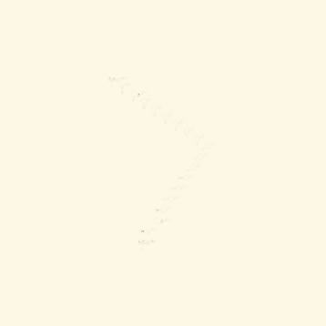 [Ca+2].[Ca+2].[Mo+6].[Mo+6].[O-2].[O-2].[O-2].[O-2].[O-2].[O-2].[O-2].[O-2].[O-2].[O-2].[O-2].[O-2].[O-2].[V+5].[V+5]